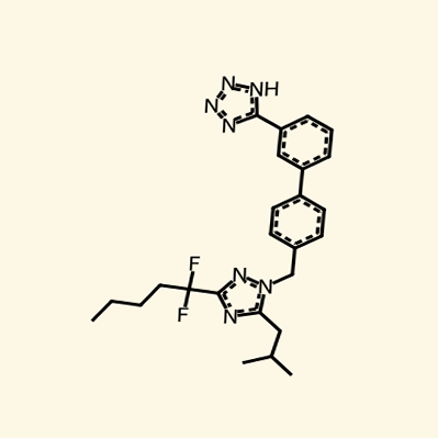 CCCCC(F)(F)c1nc(CC(C)C)n(Cc2ccc(-c3cccc(-c4nnn[nH]4)c3)cc2)n1